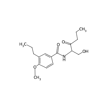 CCCC(=O)C(CO)NC(=O)c1ccc(OC)c(CCC)c1